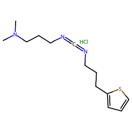 CN(C)CCCN=C=NCCCc1cccs1.Cl